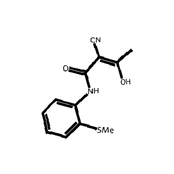 CSc1ccccc1NC(=O)C(C#N)=C(C)O